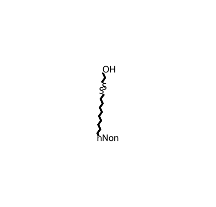 CCCCCCCCCCCCCCCCCCCSSCCCO